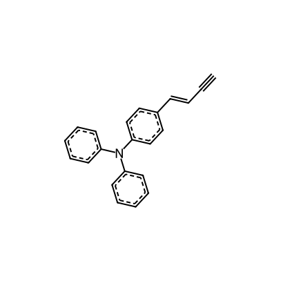 C#C/C=C/c1ccc(N(c2ccccc2)c2ccccc2)cc1